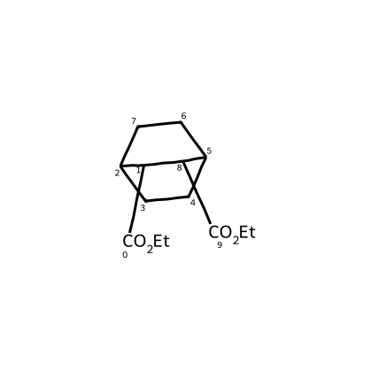 CCOC(=O)C1C2CCC(CC2)C1C(=O)OCC